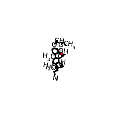 CCOC(C)O[C@H]1CC[C@]2(C)C3CC[C@@]4(C)C(C3C3C[C@H]3[C@]2(O)C1)[C@@H]1CC1[C@@]4(O)CCC#N